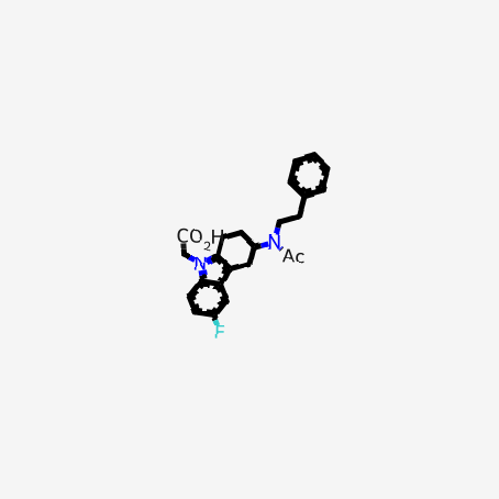 CC(=O)N(CCc1ccccc1)C1CCc2c(c3cc(F)ccc3n2CC(=O)O)C1